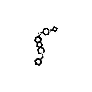 c1ccc(CN2CCC3(CC2)Cc2ccc(OC4CCN(C5CCC5)CC4)cc2C3)cc1